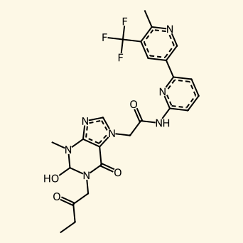 CCC(=O)CN1C(=O)c2c(ncn2CC(=O)Nc2cccc(-c3cnc(C)c(C(F)(F)F)c3)n2)N(C)C1O